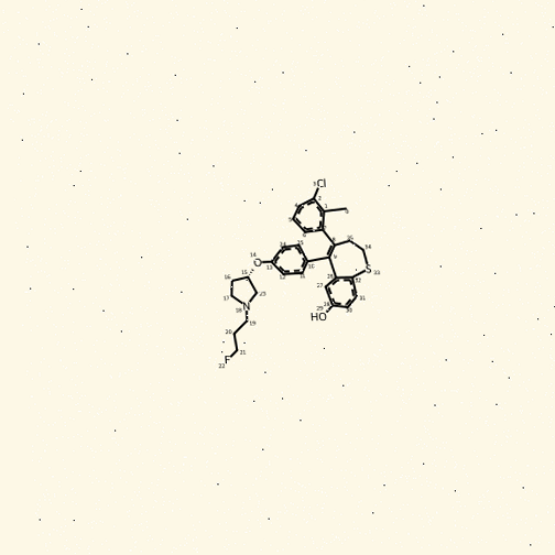 Cc1c(Cl)cccc1C1=C(c2ccc(O[C@H]3CCN(CCCF)C3)cc2)c2cc(O)ccc2SCC1